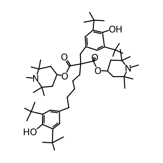 CN1C(C)(C)CC(OC(=O)C(CCCCCc2cc(C(C)(C)C)c(O)c(C(C)(C)C)c2)(Cc2cc(C(C)(C)C)c(O)c(C(C)(C)C)c2)C(=O)OC2CC(C)(C)N(C)C(C)(C)C2)CC1(C)C